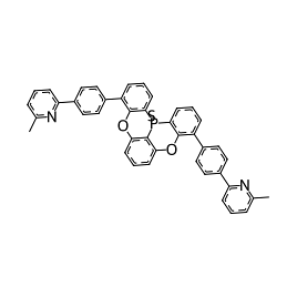 Cc1cccc(-c2ccc(-c3cccc4c3Oc3cccc5c3P4(=S)c3cccc(-c4ccc(-c6cccc(C)n6)cc4)c3O5)cc2)n1